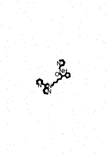 O=C(NCc1ccccn1)C(CCCCCn1cc(-c2ccccn2)c2cccnc21)C1CCCC1